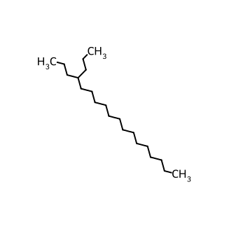 CCCCCCCCCCCCCCC(CCC)CCC